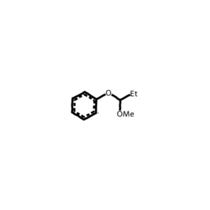 CCC(OC)Oc1[c]cccc1